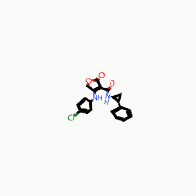 O=C(N[C@@H]1C[C@H]1c1ccccc1)C1=C(Nc2ccc(Cl)cc2)COC1=O